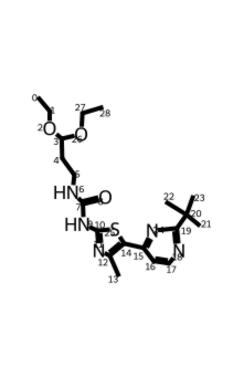 CCOC(CCNC(=O)Nc1nc(C)c(-c2ccnc(C(C)(C)C)n2)s1)OCC